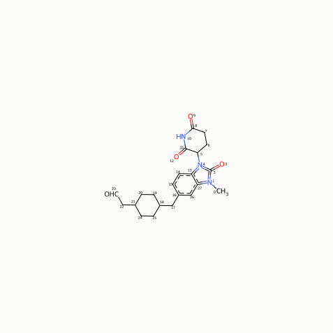 Cn1c(=O)n(C2CCC(=O)NC2=O)c2ccc(CC3CCC(CC=O)CC3)cc21